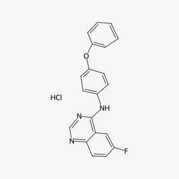 Cl.Fc1ccc2ncnc(Nc3ccc(Oc4ccccc4)cc3)c2c1